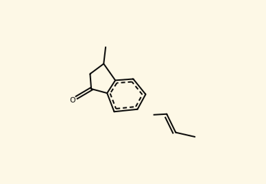 CC1CC(=O)c2ccccc21.CC=CC